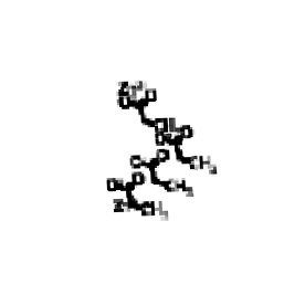 CCC(=O)[O-].CCC(=O)[O-].CCC(=O)[O-].CCC(=O)[O-].[Zn+2].[Zn+2]